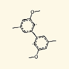 COc1[c]c(-c2[c]c(OC)cc(C)c2)cc(C)c1